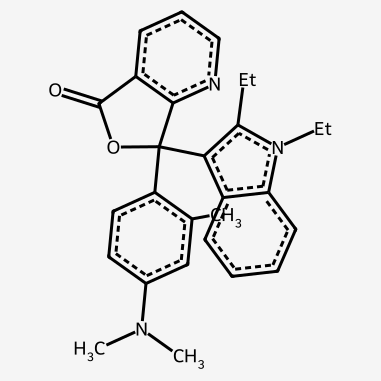 CCc1c(C2(c3ccc(N(C)C)cc3C)OC(=O)c3cccnc32)c2ccccc2n1CC